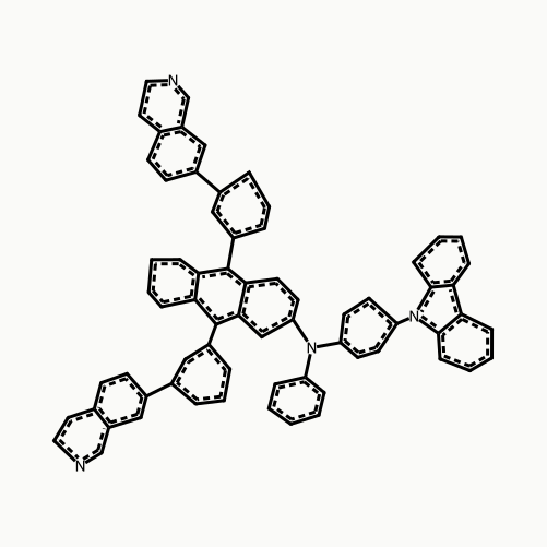 c1ccc(N(c2ccc(-n3c4ccccc4c4ccccc43)cc2)c2ccc3c(-c4cccc(-c5ccc6ccncc6c5)c4)c4ccccc4c(-c4cccc(-c5ccc6ccncc6c5)c4)c3c2)cc1